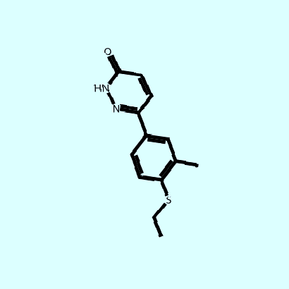 CCSc1ccc(-c2ccc(=O)[nH]n2)cc1C